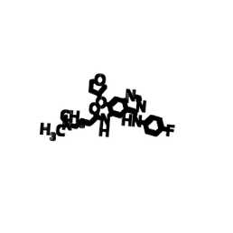 CN(C)C/C=C/C(=O)Nc1cc2c(Nc3ccc(F)cc3)ncnc2cc1OC1CCOC1